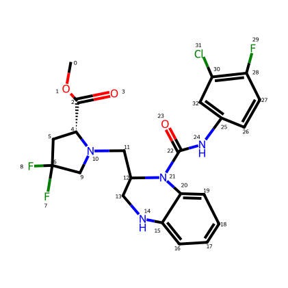 COC(=O)[C@H]1CC(F)(F)CN1CC1CNc2ccccc2N1C(=O)Nc1ccc(F)c(Cl)c1